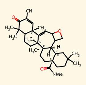 CNC(=O)[C@]12CCC(C)(C)C[C@@H]1[C@H]1C3COC3C=C3[C@@]4(C)C=C(C#N)C(=O)C(C)(C)C4CC[C@@]3(C)[C@]1(C)CC2